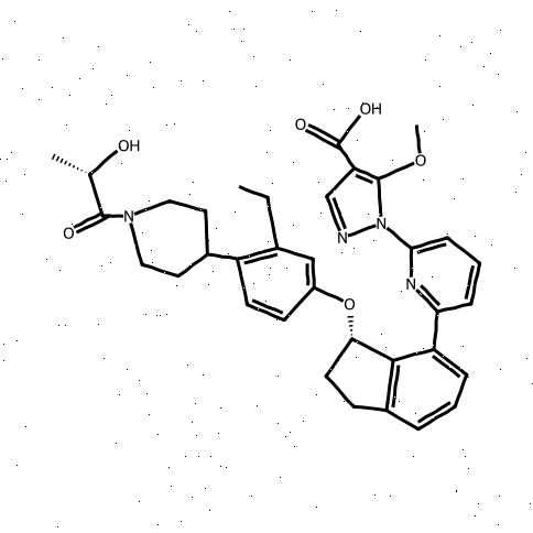 CCc1cc(O[C@H]2CCc3cccc(-c4cccc(-n5ncc(C(=O)O)c5OC)n4)c32)ccc1C1CCN(C(=O)[C@H](C)O)CC1